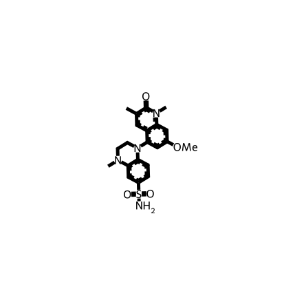 COc1cc(N2CCN(C)c3cc(S(N)(=O)=O)ccc32)c2cc(C)c(=O)n(C)c2c1